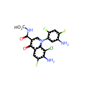 Nc1cc(-n2cc(C(=O)NC(=O)O)c(=O)c3cc(F)c(N)c(Cl)c32)c(F)cc1F